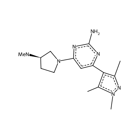 CN[C@@H]1CCN(c2cc(-c3c(C)nn(C)c3C)nc(N)n2)C1